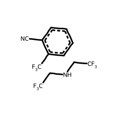 FC(F)(F)CNCC(F)(F)F.N#Cc1ccccc1C(F)(F)F